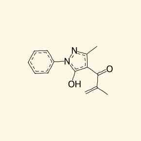 C=C(C)C(=O)c1c(C)nn(-c2ccccc2)c1O